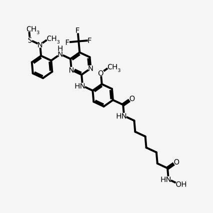 COc1cc(C(=O)NCCCCCCC(=O)NO)ccc1Nc1ncc(C(F)(F)F)c(Nc2ccccc2N(C)SC)n1